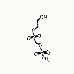 CS(=O)(=O)OCS(=O)(=O)OCCO